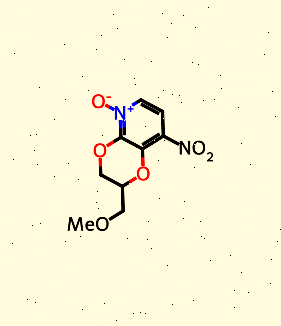 COCC1COc2c(c([N+](=O)[O-])cc[n+]2[O-])O1